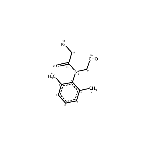 Cc1cccc(C)c1N(CC=O)C(=O)CBr